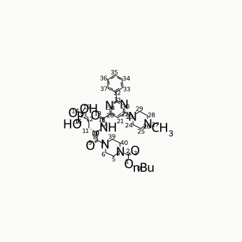 CCCCOC(=O)N1CCN(C(=O)[C@H](CCP(=O)(O)O)NC(=O)c2cc(N3CCN(C)CC3)nc(-c3ccccc3)n2)CC1